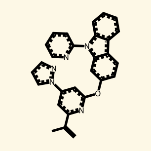 C=C(C)c1cc(-n2cccn2)cc(Oc2ccc3c4ccccc4n(-c4ccccn4)c3c2)n1